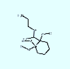 CCOC1(C(C)NCCN)CCCC[Si]1(OCC)OCC